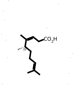 CC(C)=CCC[C@H](C)C(C)=CCC(=O)O